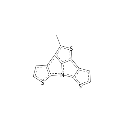 Cc1sc2c3ccsc3n3c4sccc4c1c23